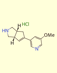 COc1cncc(C2=C[C@@H]3CNC[C@@H]3C2)c1.Cl